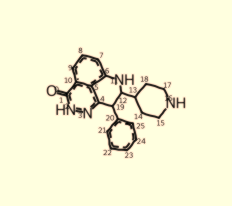 O=c1[nH]nc2c3c(cccc13)NC(C1CCNCC1)C2c1ccccc1